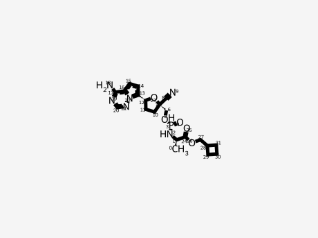 C[C@H](N[PH](=O)OC[C@]1(C#N)CC[C@H](c2ccc3c(N)ncnn23)O1)C(=O)OCC1CCC1